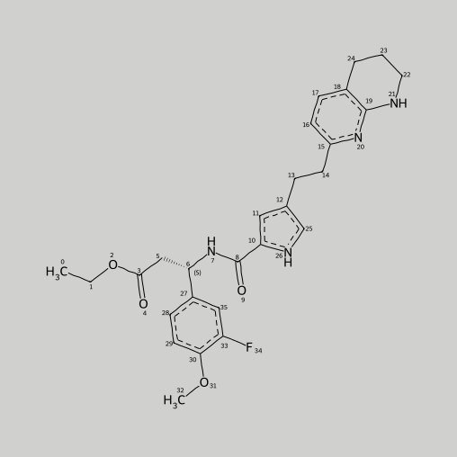 CCOC(=O)C[C@H](NC(=O)c1cc(CCc2ccc3c(n2)NCCC3)c[nH]1)c1ccc(OC)c(F)c1